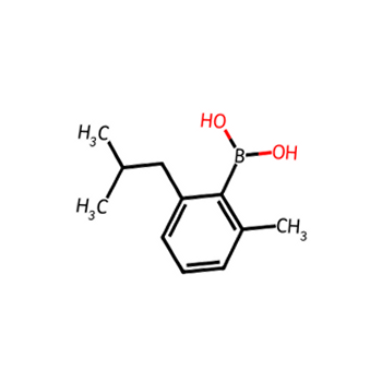 Cc1cccc(CC(C)C)c1B(O)O